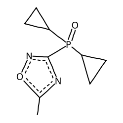 Cc1nc(P(=O)(C2CC2)C2CC2)no1